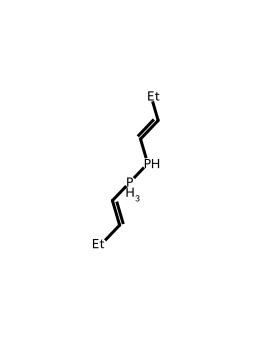 CC/C=C/P[PH3]/C=C/CC